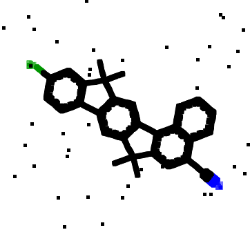 CC1(C)c2cc(Br)ccc2-c2cc3c(cc21)-c1c(cc(C#N)c2ccccc12)C3(C)C